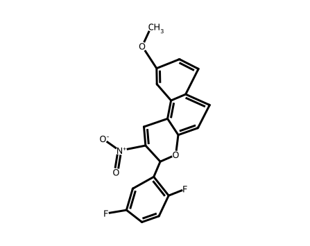 COc1ccc2ccc3c(c2c1)C=C([N+](=O)[O-])C(c1cc(F)ccc1F)O3